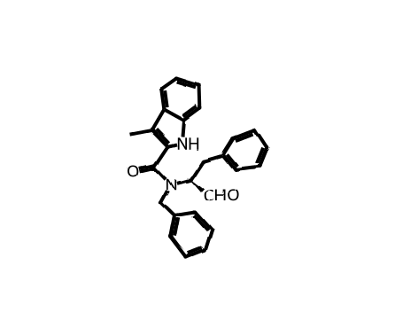 Cc1c(C(=O)N(Cc2ccccc2)[C@H](C=O)Cc2ccccc2)[nH]c2ccccc12